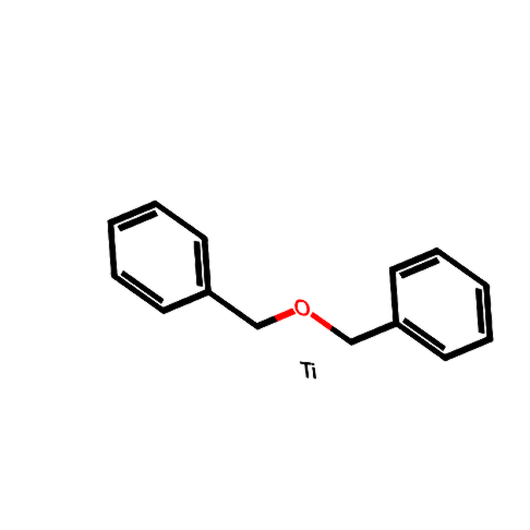 [Ti].c1ccc(COCc2ccccc2)cc1